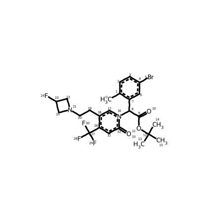 Cc1ccc(Br)cc1C(C(=O)OC(C)(C)C)n1cc(CCN2CC(F)C2)c(C(F)(F)F)cc1=O